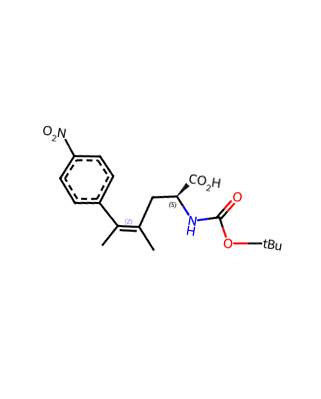 C/C(C[C@H](NC(=O)OC(C)(C)C)C(=O)O)=C(\C)c1ccc([N+](=O)[O-])cc1